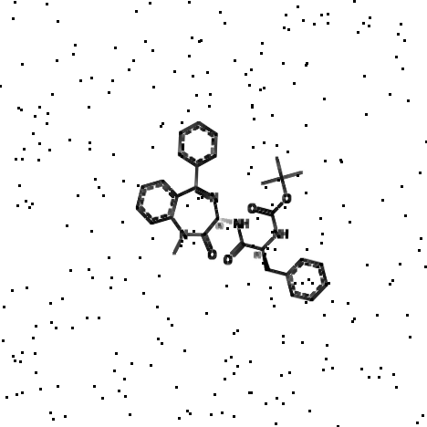 CN1C(=O)[C@@H](NC(=O)[C@H](Cc2ccccc2)NC(=O)OC(C)(C)C)N=C(c2ccccc2)c2ccccc21